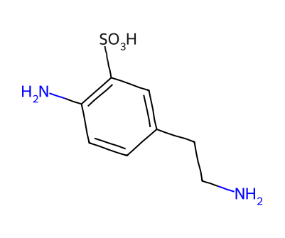 NCCc1ccc(N)c(S(=O)(=O)O)c1